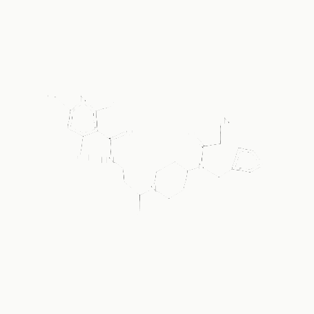 Cc1cc(Cl)nc(Cl)c1C(=O)NCCC(C)N1CCC(N(Cc2ccsc2)C(=O)CC#N)CC1